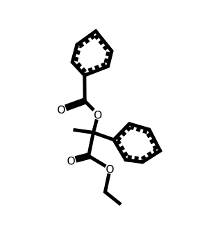 CCOC(=O)C(C)(OC(=O)c1ccccc1)c1ccccc1